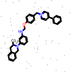 O=C(O)C1Cc2ccccc2CN1c1cccc(NCOc2ccc(C[n+]3ccc(-c4ccccc4)cc3)cc2)c1